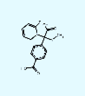 CNC(C(=O)O)(c1ccc(C(=O)O)cc1)N1CC=CC=C1F